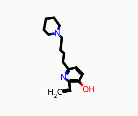 C=Cc1nc(CCCCN2CCCCC2)ccc1O